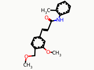 COCc1ccc(/C=C/C(=O)Nc2ccccc2C)cc1OC